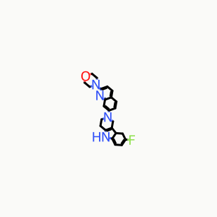 FC1=CC=C2NC3=C(CN(c4ccc5ccc(N6CCOCC6)nc5c4)CC3)C2C1